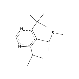 CSC(C)c1c(C(C)C)ncnc1C(C)(C)C